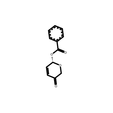 O=C1C=C[C@H](OC(=O)c2ccccc2)OC1